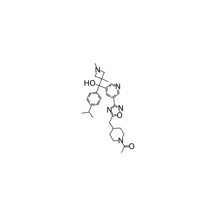 CC(=O)N1CCC(Cc2nc(-c3cncc(C(O)(c4ccc(C(C)C)cc4)C4(C)CN(C)C4)c3)no2)CC1